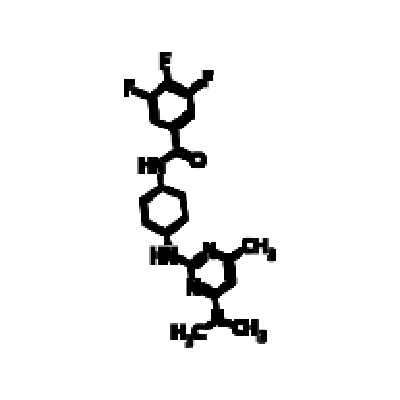 Cc1cc(N(C)C)nc(N[C@H]2CC[C@@H](NC(=O)c3cc(F)c(F)c(F)c3)CC2)n1